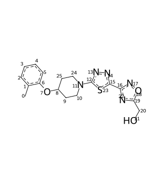 Cc1ccccc1OC1CCN(c2nnc(-c3noc(CO)n3)s2)CC1